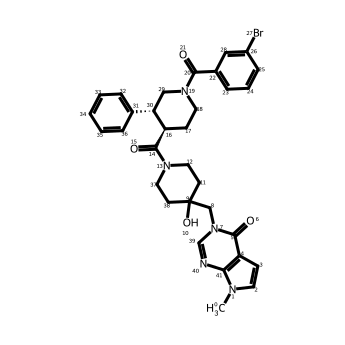 Cn1ccc2c(=O)n(CC3(O)CCN(C(=O)[C@@H]4CCN(C(=O)c5cccc(Br)c5)C[C@H]4c4ccccc4)CC3)cnc21